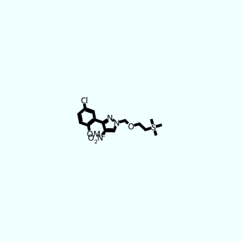 COc1ccc(Cl)cc1-c1nn(COCCS(C)(C)C)cc1[N+](=O)[O-]